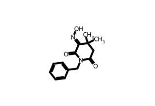 CC1(C)CC(=O)N(Cc2ccccc2)C(=O)/C1=N/O